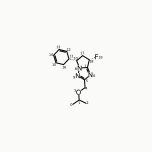 CC(C)OCc1nc2n(n1)[C@H](C1C=CC=CC1)C[C@@H]2F